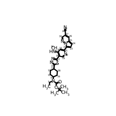 CCN(C(=O)OC(C)(C)C)C1CCC(c2nnc(-c3cnc(-c4ccc5cc(C#N)cnn45)cc3NC)s2)CC1